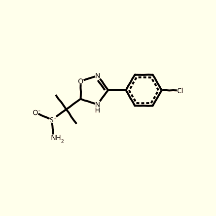 CC(C)(C1NC(c2ccc(Cl)cc2)=NO1)[S+](N)[O-]